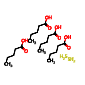 CCCCC(=O)O.CCCCC(=O)O.CCCCC(=O)O.CCCCC(=O)O.S.S